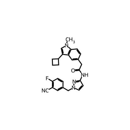 Cn1cc(C2CCC2)c2cc(CC(=O)Nc3ccn(Cc4ccc(F)c(C#N)c4)n3)ccc21